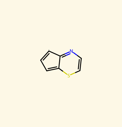 [c]1ccc2sccnc1-2